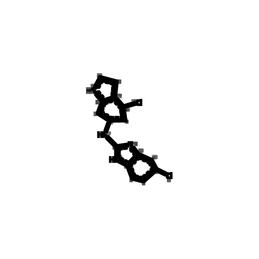 Clc1ccc2[nH]c(Nc3cc(Cl)c4cc[nH]c4c3)nc2c1